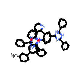 N#Cc1cccc(-c2ccc3c(c2)c2ccccc2n3-c2ccc(-c3nc(-c4ccccc4)nc(-c4ccccc4)n3)cc2-c2ncccc2-c2nc(-c3ccccc3)nc(-c3ccccc3)n2)c1